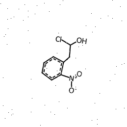 O=[N+]([O-])c1ccccc1CC(O)Cl